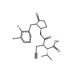 C#CCN(C(=O)C[C@@H]1CCC(=O)N1Cc1cccc(F)c1F)[C@H](C(=O)O)C(C)C